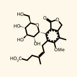 COc1c(C)c2c(c([C@H]3O[C@H](CO)[C@@H](O)[C@H](O)[C@H]3O)c1CC=C(C)CCC(=O)O)C(=O)OC2